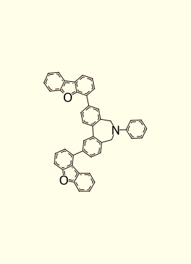 c1ccc(N2Cc3cc(-c4cccc5c4oc4ccccc45)ccc3-c3cc(-c4cccc5oc6ccccc6c45)ccc3C2)cc1